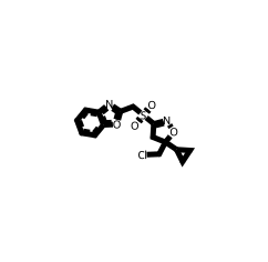 O=S(=O)(Cc1nc2ccccc2o1)C1=NOC(CCl)(C2CC2)C1